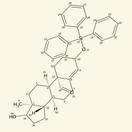 C[C@]12CC[C@@H]3[C@@H](CCC4=CC(O[Si](c5ccccc5)(c5ccccc5)c5ccccc5)CC[C@@]43C=O)[C@@H]1CCC2O